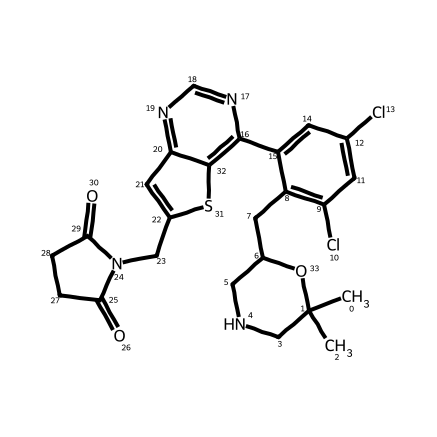 CC1(C)CNCC(Cc2c(Cl)cc(Cl)cc2-c2ncnc3cc(CN4C(=O)CCC4=O)sc23)O1